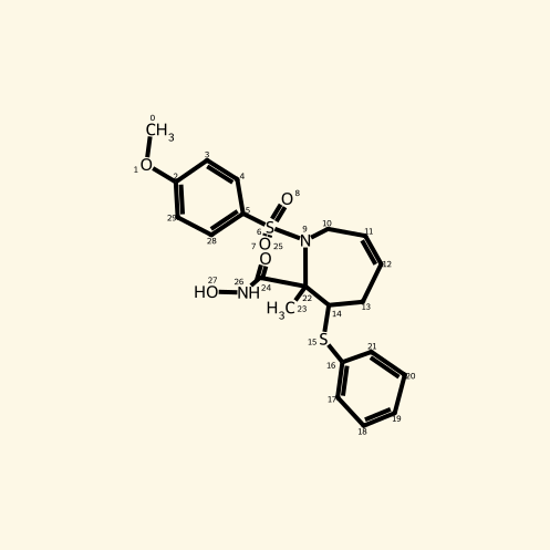 COc1ccc(S(=O)(=O)N2CC=CCC(Sc3ccccc3)C2(C)C(=O)NO)cc1